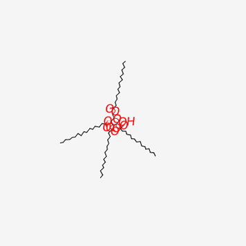 CCCCCCCCCCCCCCCC(=O)OC[C@H]1O[C@H](O)[C@@H](OC(=O)CCCCCCCCCCCCCCC)[C@@H](OC(=O)CCCCCCCCCCCCCCC)[C@@H]1OC(=O)CCCCCCCCCCCCCCC